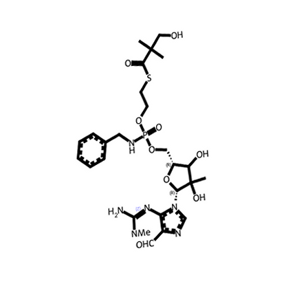 CN/C(N)=N\c1c(C=O)ncn1[C@@H]1O[C@H](COP(=O)(NCc2ccccc2)OCCSC(=O)C(C)(C)CO)C(O)C1(C)O